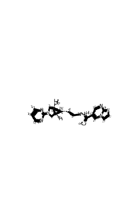 O=C(NCC[C@@H]1[C@H]2CN(c3ncccn3)C[C@@H]12)c1cnc2nccn2c1